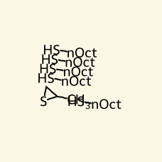 CC1CS1.CCCCCCCCS.CCCCCCCCS.CCCCCCCCS.CCCCCCCCS.CCCCCCCCS